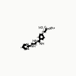 CC(C)(C)[C@@H](COc1ccc(C(=N)NCCNc2ncccn2)cc1)C(=O)O